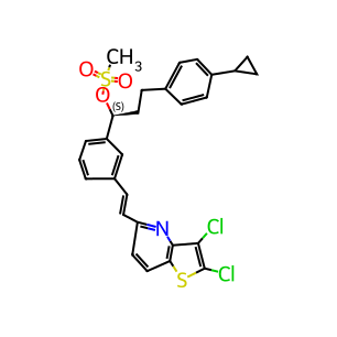 CS(=O)(=O)O[C@@H](CCc1ccc(C2CC2)cc1)c1cccc(C=Cc2ccc3sc(Cl)c(Cl)c3n2)c1